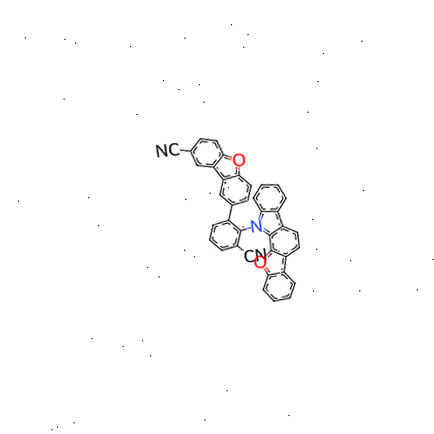 N#Cc1ccc2oc3ccc(-c4cccc(C#N)c4-n4c5ccccc5c5ccc6c7ccccc7oc6c54)cc3c2c1